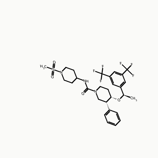 C[C@@H](O[C@H]1CCN(C(=O)NC2CCN(S(C)(=O)=O)CC2)C[C@H]1c1ccccc1)c1cc(C(F)(F)F)cc(C(F)(F)F)c1